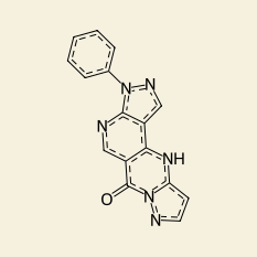 O=c1c2cnc3c(cnn3-c3ccccc3)c2[nH]c2ccnn12